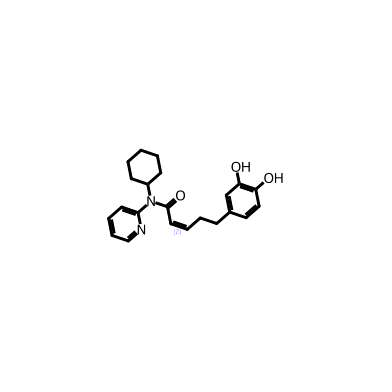 O=C(/C=C\CCc1ccc(O)c(O)c1)N(c1ccccn1)C1CCCCC1